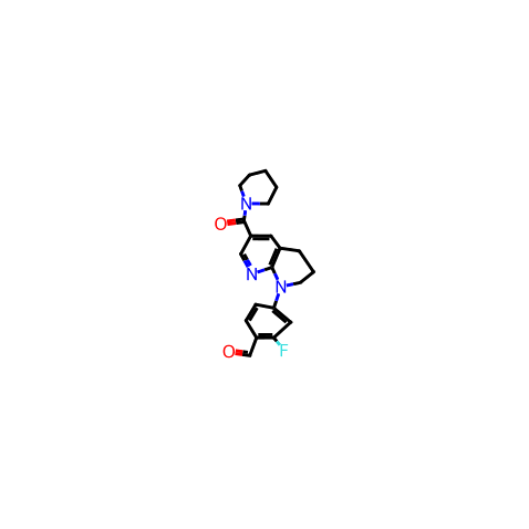 O=Cc1ccc(N2CCCc3cc(C(=O)N4CCCCC4)cnc32)cc1F